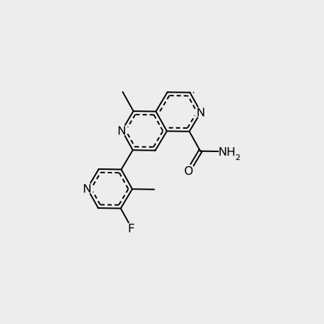 Cc1c(F)cncc1-c1cc2c(C(N)=O)n[c]cc2c(C)n1